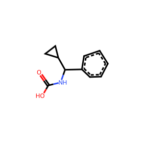 O=C(O)NC(c1ccccc1)C1CC1